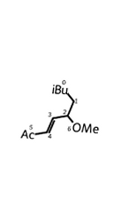 CCC(C)CC(C=CC(C)=O)OC